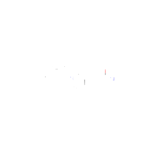 CC1(C)C(CCC(N)=O)=CC=CN1C1C2CC3CC1CC(O)(C3)C2